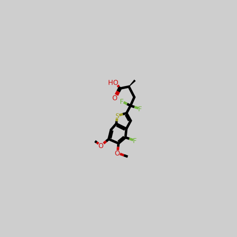 COc1cc2sc(C(F)(F)C[C@H](C)C(=O)O)cc2c(F)c1OC